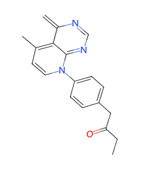 C=c1ncnc2c1=C(C)C=CN2c1ccc(CC(=O)CC)cc1